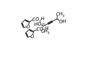 CC(O)C#C[C@H](C)O.O=C(O)c1ccco1.O=C(O)c1ccco1